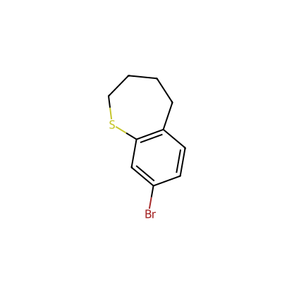 Brc1ccc2c(c1)SCCCC2